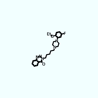 CCOc1ccc(F)cc1N1CCN(CCCCCn2nnc3ccccc3c2=O)CC1